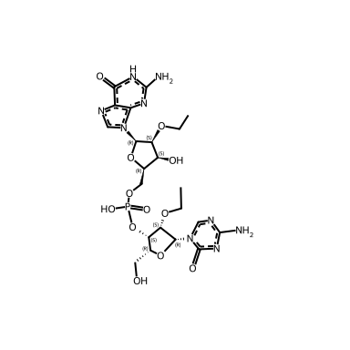 CCO[C@H]1[C@@H](OP(=O)(O)OC[C@H]2O[C@@H](n3cnc4c(=O)[nH]c(N)nc43)[C@@H](OCC)[C@H]2O)[C@@H](CO)O[C@H]1n1cnc(N)nc1=O